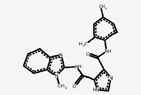 Cc1ccc(NC(=O)c2nc[nH]c2C(=O)Nc2nc3ccccc3n2C)c(C)c1